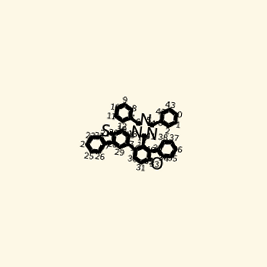 c1ccc(-c2nc(-c3ccccc3)nc(-c3c(-c4ccc5sc6ccccc6c5c4)ccc4oc5ccccc5c34)n2)cc1